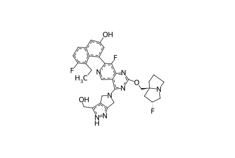 CCc1c(F)ccc2cc(O)cc(-c3ncc4c(N5Cc6n[nH]c(CO)c6C5)nc(OC[C@@]56CCCN5C[C@H](F)C6)nc4c3F)c12